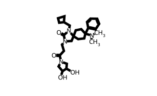 CN(C)C1(c2ccccc2)CCC2(CC1)CN(CCC(=O)N1CC(O)C(O)C1)C(=O)N2CC1CCC1